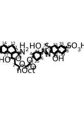 CCCCCCCCC(CCC(O)c1c(C(N)=O)ccc2ccccc12)OCC(=O)Oc1ccc(N=Nc2c(S(=O)(=O)O)cc3cc(S(=O)(=O)O)ccc3c2O)cc1